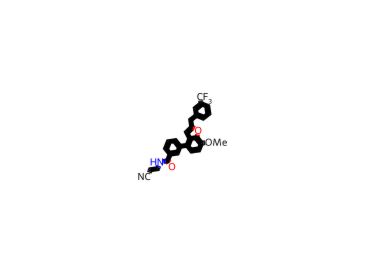 COc1ccc(-c2cccc(C(=O)NCCC#N)c2)c2cc(Cc3cccc(C(F)(F)F)c3)oc12